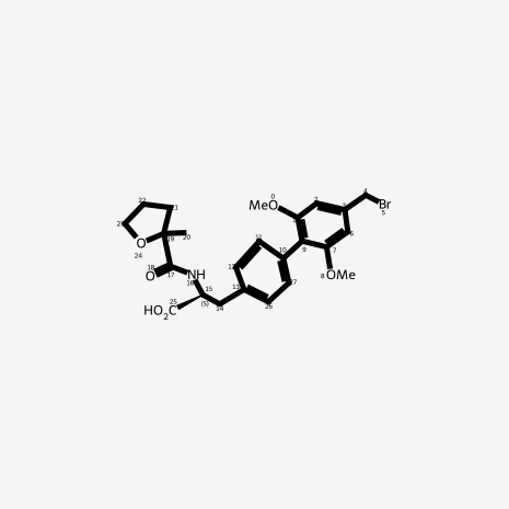 COc1cc(CBr)cc(OC)c1-c1ccc(C[C@H](NC(=O)C2(C)CCCO2)C(=O)O)cc1